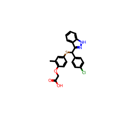 Cc1cc(SC(c2ccc(Cl)cc2)c2n[nH]c3ccccc23)ccc1OCC(=O)O